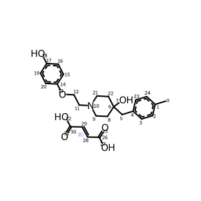 Cc1ccc(CC2(O)CCN(CCOc3ccc(O)cc3)CC2)cc1.O=C(O)/C=C/C(=O)O